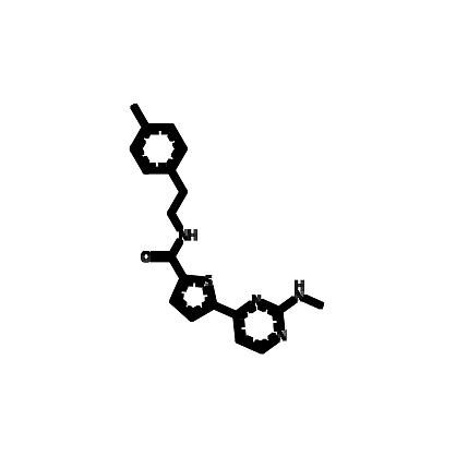 CNc1nccc(-c2ccc(C(=O)NCCc3ccc(C)cc3)s2)n1